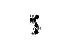 Cc1cnn2c(NCc3ccc(NC(=O)C4=CC(O)=CCC4)cc3)cc(-c3ccccc3O)nc12